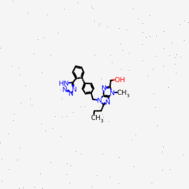 CCCc1nc2c(nc(CO)n2C)n1Cc1ccc(-c2ccccc2-c2nnn[nH]2)cc1